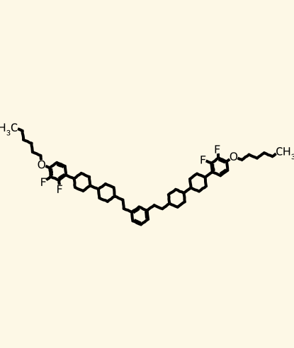 CCCCCCOc1ccc(C2CCC(C3CCC(CCc4cccc(CCC5CCC(C6CCC(c7ccc(OCCCCCC)c(F)c7F)CC6)CC5)c4)CC3)CC2)c(F)c1F